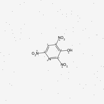 O=[N+]([O-])c1cc([N+](=O)[O-])c(O)c([N+](=O)[O-])n1